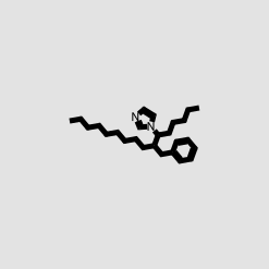 CCCCCCCCCC(Cc1ccccc1)C(CCCCC)n1ccnc1